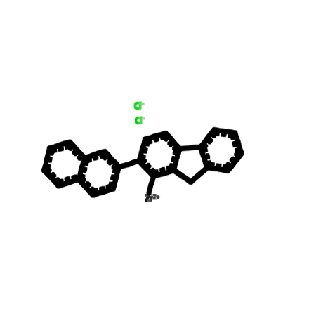 [Cl-].[Cl-].[Zr+2][c]1c(-c2ccc3ccccc3c2)ccc2c1Cc1ccccc1-2